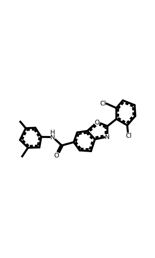 Cc1cc(C)cc(NC(=O)c2ccc3nc(-c4c(Cl)cccc4Cl)oc3c2)c1